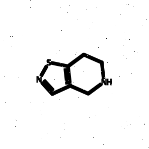 c1nsc2c1CNCC2